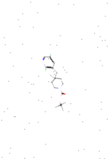 CC1(Cc2cc(F)cnc2Cl)CCN(C(=O)OC(C)(C)C)CC1